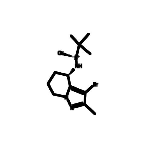 Cc1nn2c(c1Br)[C@@H](N[S@+]([O-])C(C)(C)C)CCC2